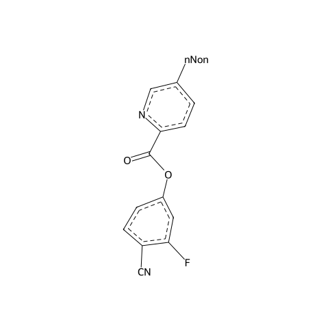 CCCCCCCCCc1ccc(C(=O)Oc2ccc(C#N)c(F)c2)nc1